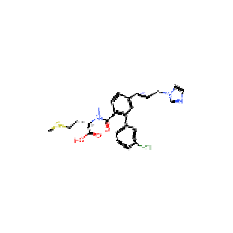 CSCC[C@H](NC(=O)c1ccc(/C=C/Cn2ccnc2)cc1-c1cccc(Cl)c1)C(=O)O